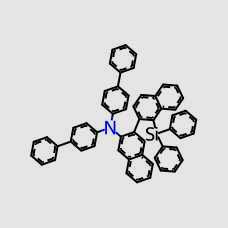 c1ccc(-c2ccc(N(c3ccc(-c4ccccc4)cc3)c3cc4ccccc4c4c3-c3ccc5ccccc5c3[Si]4(c3ccccc3)c3ccccc3)cc2)cc1